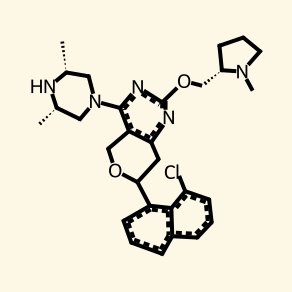 C[C@@H]1CN(c2nc(OC[C@@H]3CCCN3C)nc3c2COC(c2cccc4cccc(Cl)c24)C3)C[C@H](C)N1